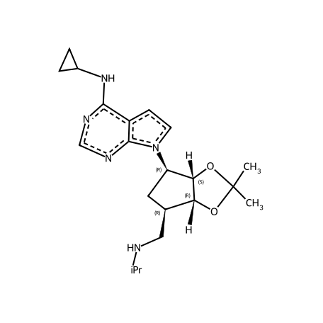 CC(C)NC[C@H]1C[C@@H](n2ccc3c(NC4CC4)ncnc32)[C@@H]2OC(C)(C)O[C@H]12